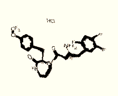 Cl.N[C@@H](CC(=O)N1CCCNC(=O)[C@H]1Cc1ccc(OC(F)(F)F)cc1)Cc1cc(F)c(F)cc1F